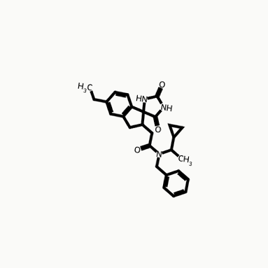 CCc1ccc2c(c1)CC(CC(=O)N(Cc1ccccc1)C(C)C1CC1)C21NC(=O)NC1=O